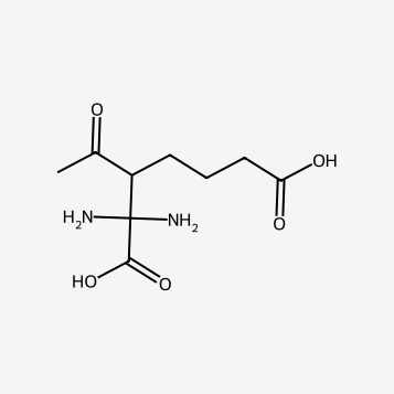 CC(=O)C(CCCC(=O)O)C(N)(N)C(=O)O